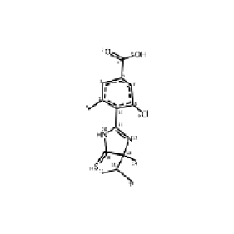 Cc1cc(C(=O)O)cc(Cl)c1C1=NC(C)(C(C)C)C(=S)N1